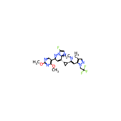 C=N/C(=C\c1c(C)cnn1CC(F)(F)F)[C@H]1C[C@@H]1c1cc(-c2cnc(OC)nc2OC)nn2c(F)cnc12